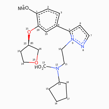 COc1ccc(-c2ccnn2CCN(C(=O)O)C2CCCC2)cc1O[C@@H]1CCOC1